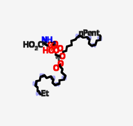 CC/C=C\C/C=C\C/C=C\C/C=C\C/C=C\C/C=C\CCC(=O)OC[C@H](COP(=O)(O)OC[C@H](N)C(=O)O)OC(=O)CCCCC/C=C\C/C=C\C/C=C\C/C=C\CCCCC